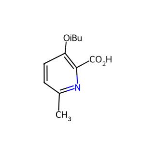 Cc1ccc(OCC(C)C)c(C(=O)O)n1